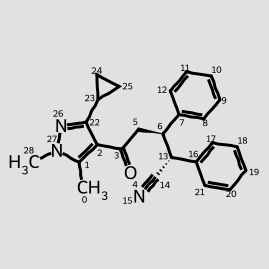 Cc1c(C(=O)C[C@@H](c2ccccc2)[C@@H](C#N)c2ccccc2)c(C2CC2)nn1C